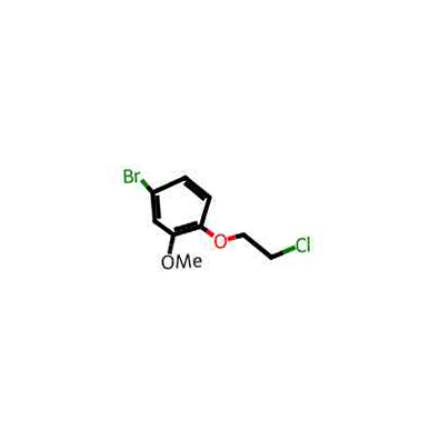 COc1cc(Br)ccc1OCCCl